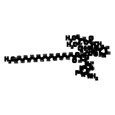 C#C[C@]1(COP(=O)(N[C@@H](C)C(=O)OCC(CC)CC)Oc2ccccc2)O[C@@H](n2cnc3c(N)nc(F)nc32)C[C@@H]1OC(=O)CCCCCCCCCCCCCCCCCCC